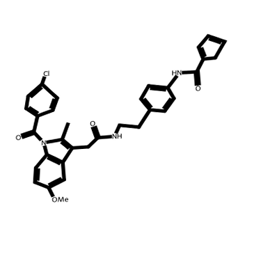 COc1ccc2c(c1)c(CC(=O)NCCc1ccc(NC(=O)C3=CC=CC3)cc1)c(C)n2C(=O)c1ccc(Cl)cc1